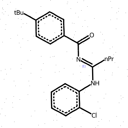 CCC/C(=N\C(=O)c1ccc(C(C)(C)C)cc1)Nc1ccccc1Cl